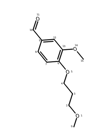 CO[CH]CCOc1ccc(C=O)cc1OC